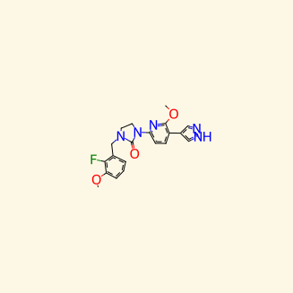 COc1cccc(CN2CCN(c3ccc(-c4cn[nH]c4)c(OC)n3)C2=O)c1F